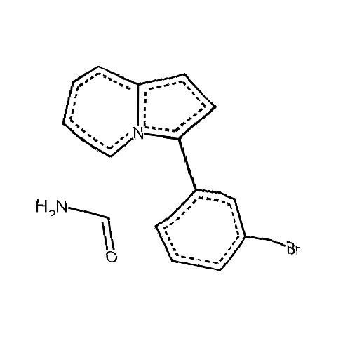 Brc1cccc(-c2ccc3ccccn23)c1.NC=O